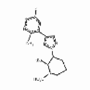 CC(C)(C)C1C(n2cc(-c3cc(Cl)nnc3N)cn2)CCCN1C(=O)O